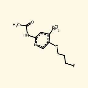 CC(=O)Nc1cc(N)c(OCCCF)cn1.Cl